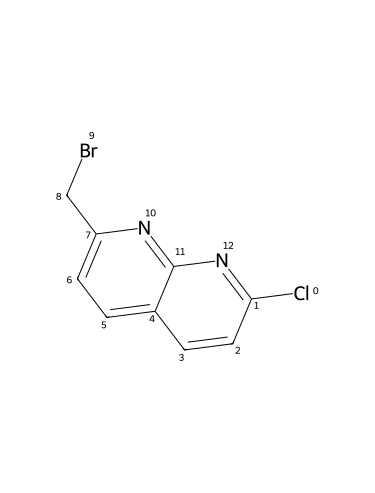 Clc1ccc2ccc(CBr)nc2n1